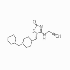 C#CCNC1=NC(=O)S/C1=C\C1CCN(CC2CCCCC2)CC1